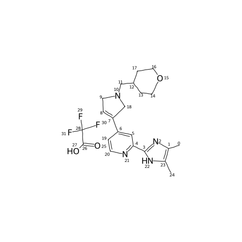 Cc1nc(-c2cc(C3=CCN(CC4CCOCC4)C3)ccn2)[nH]c1C.O=C(O)C(F)(F)F